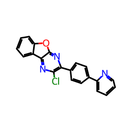 Clc1nc2c(nc1-c1ccc(-c3ccccn3)cc1)oc1ccccc12